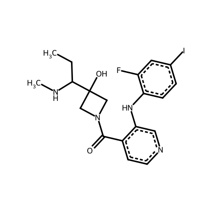 CCC(NC)C1(O)CN(C(=O)c2ccncc2Nc2ccc(I)cc2F)C1